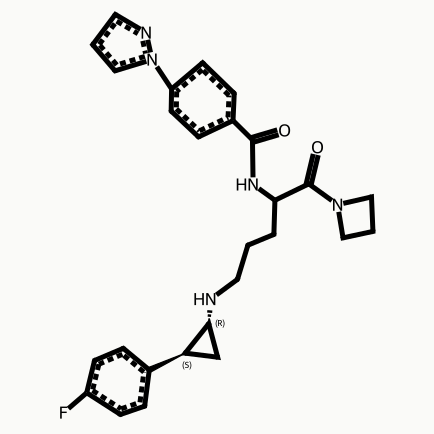 O=C(NC(CCCN[C@@H]1C[C@H]1c1ccc(F)cc1)C(=O)N1CCC1)c1ccc(-n2cccn2)cc1